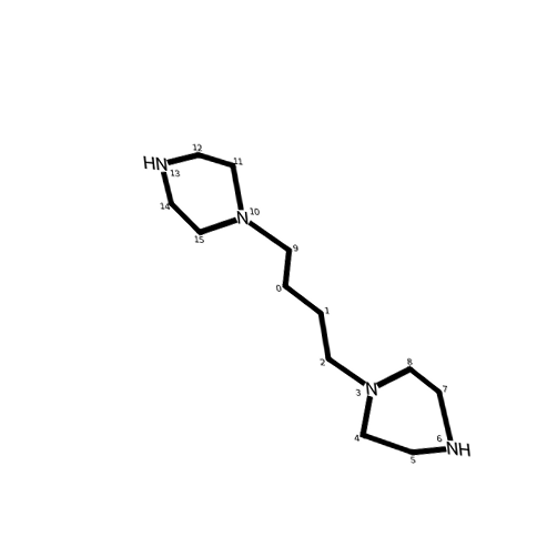 C(CCN1CCNCC1)CN1CCNCC1